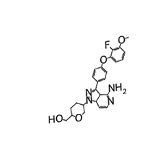 COc1cccc(Oc2ccc(C3=NN(C4CCC(CO)OC4)C4C=CN=C(N)C34)cc2)c1F